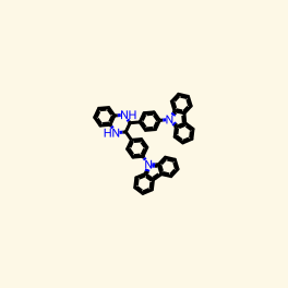 c1ccc2c(c1)NC(c1ccc(-n3c4ccccc4c4ccccc43)cc1)C(c1ccc(-n3c4ccccc4c4ccccc43)cc1)N2